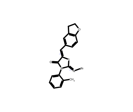 Cc1ccccc1N1C(=O)/C(=C/c2ccc3c(c2)CCO3)S/C1=N\C(C)C